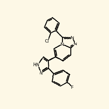 Fc1ccc(-c2n[nH]cc2-c2ccc3nnc(-c4ccccc4Cl)n3c2)cc1